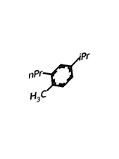 CCCc1cc(C(C)C)ccc1C